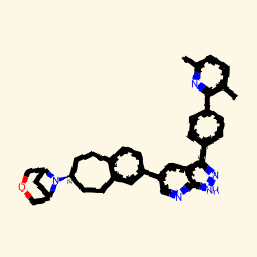 Cc1ccc(C)c(-c2ccc(-c3n[nH]c4ncc(-c5ccc6c(c5)CC[C@@H](N5C7COCC5C7)CC6)cc34)cc2)n1